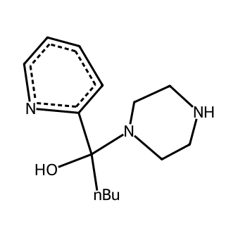 CCCCC(O)(c1ccccn1)N1CCNCC1